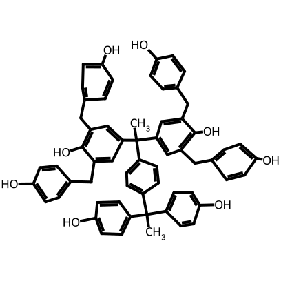 CC(c1ccc(O)cc1)(c1ccc(O)cc1)c1ccc(C(C)(c2cc(Cc3ccc(O)cc3)c(O)c(Cc3ccc(O)cc3)c2)c2cc(Cc3ccc(O)cc3)c(O)c(Cc3ccc(O)cc3)c2)cc1